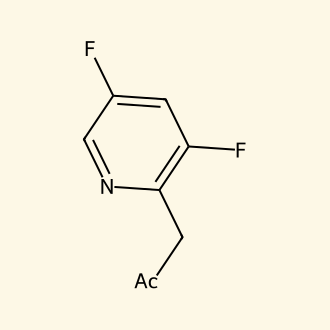 CC(=O)Cc1ncc(F)cc1F